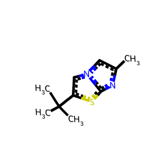 Cc1cn2cc(C(C)(C)C)sc2n1